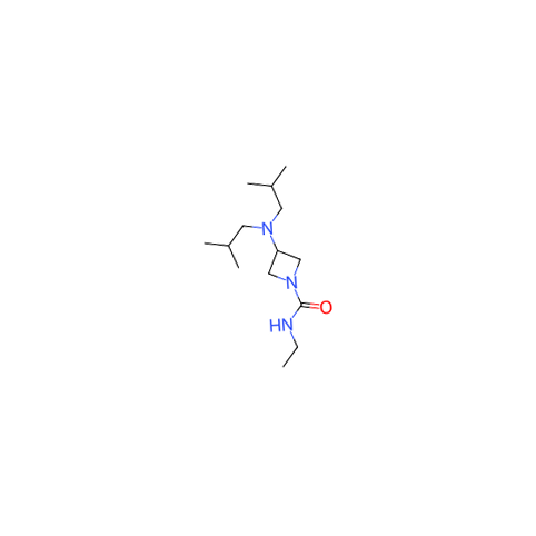 CCNC(=O)N1CC(N(CC(C)C)CC(C)C)C1